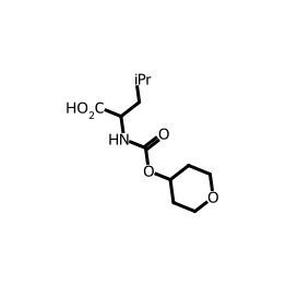 CC(C)CC(NC(=O)OC1CCOCC1)C(=O)O